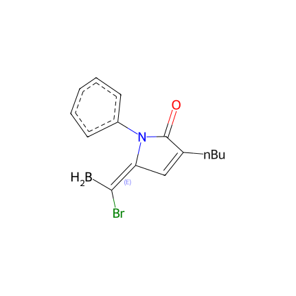 B/C(Br)=C1/C=C(CCCC)C(=O)N1c1ccccc1